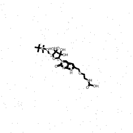 CC(C)(C)[Si](C)(C)OC[C@H]1O[C@H](n2cc3cc(COCCNC(=O)O)[nH]c3nc2=O)C(O)(O)C1(O)O